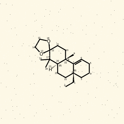 CC[C@]12CCCC=C1[C@@]1(C)CCC3(OCCO3)C(C)(C)[C@@H]1CC2